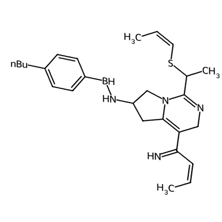 C/C=C\SC(C)C1=NCC(C(=N)/C=C\C)=C2CC(NBc3ccc(CCCC)cc3)CN12